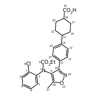 CCOC(=O)N(c1ccccc1Cl)c1c(-c2ccc(C3CCC(C(=O)O)CC3)cc2)noc1C